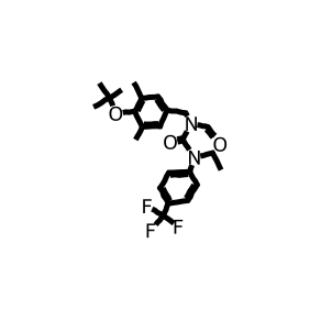 CCN(C(=O)N(C=O)Cc1cc(C)c(OC(C)(C)C)c(C)c1)c1ccc(C(F)(F)F)cc1